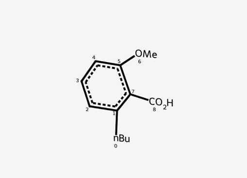 CCCCc1cccc(OC)c1C(=O)O